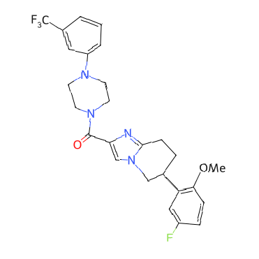 COc1ccc(F)cc1C1CCc2nc(C(=O)N3CCN(c4cccc(C(F)(F)F)c4)CC3)cn2C1